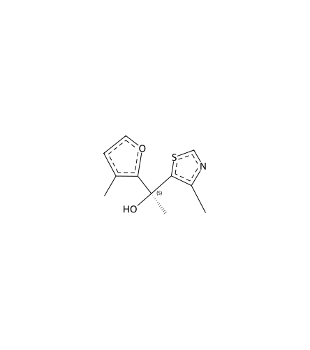 Cc1ccoc1[C@](C)(O)c1scnc1C